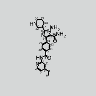 CCc1ccnc(NC(=O)c2ccc(-c3nc(C4CCCNC4)n(N)c3C(N)=O)cc2)c1